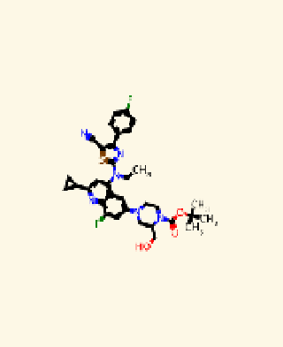 CCN(c1nc(-c2ccc(F)cc2)c(C#N)s1)c1cc(C2CC2)nc2c(F)cc(N3CCN(C(=O)OC(C)(C)C)C(CO)C3)cc12